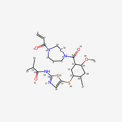 C=CC(=O)N1CCCN(C(=O)C2CC(Sc3cnc(NC(=O)C(C)C)s3)C(C)CC2OC)CC1